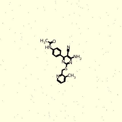 CC(=O)Nc1ccc(-c2nc(SCc3ncccc3C)nc(N)c2C#N)cc1